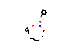 CN1CC(=O)OC2(CCC/C=C/CCCCC(=O)N/C1=N/C(=O)OCc1ccccc1)CCC2